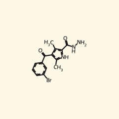 Cc1[nH]c(C(=O)NN)c(C)c1C(=O)c1cccc(Br)c1